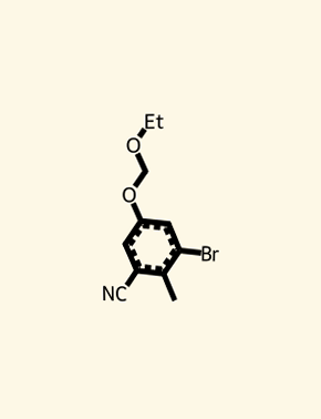 CCOCOc1cc(Br)c(C)c(C#N)c1